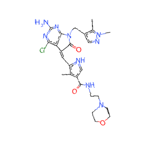 Cc1c(C(=O)NCCN2CCOCC2)c[nH]c1C=C1C(=O)N(Cc2cnn(C)c2C)c2nc(N)nc(Cl)c21